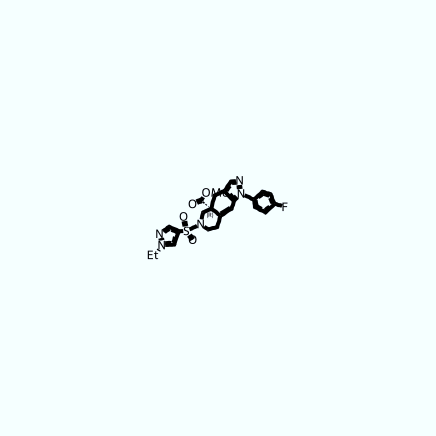 CCn1cc(S(=O)(=O)N2CCC3=Cc4c(cnn4-c4ccc(F)cc4)C[C@]3(C(=O)OC)C2)cn1